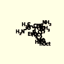 CCCCCCCCNC(=O)CC[C@@H](C)[C@H]1CC[C@@H](C)[C@]1(C)[C@H](C[C@@H](C)[C@@](C)(CC[C@H](CC)OCCCN)CC[C@H](C)OCCCN)OCCCN